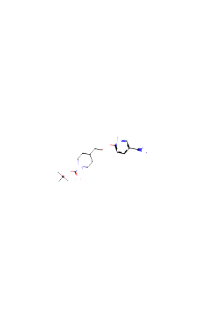 CC(C)(C)OC(=O)N1CCC(CCOc2ccc(C#N)cn2)CC1